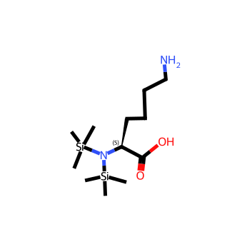 C[Si](C)(C)N([C@@H](CCCCN)C(=O)O)[Si](C)(C)C